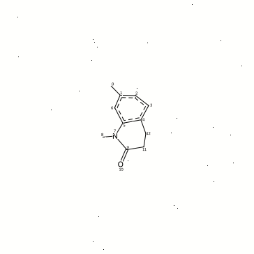 Cc1[c]cc2c(c1)N(C)C(=O)CC2